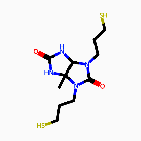 CC12NC(=O)NC1N(CCCS)C(=O)N2CCCS